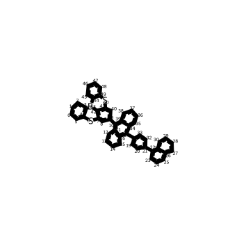 c1ccc2c(c1)Sc1cc(-c3c4ccccc4c(-c4ccc(-c5cccc6ccccc56)cc4)c4ccccc34)cc3c1B2c1ccccc1S3